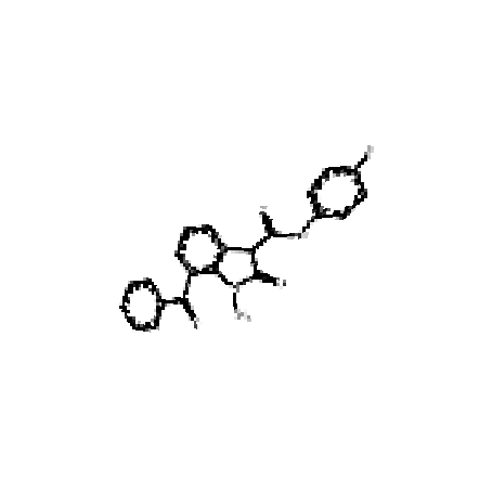 CN1C(=O)C(C(=O)Nc2ccc(F)cc2)c2cccc(C(=O)c3ccccc3)c21